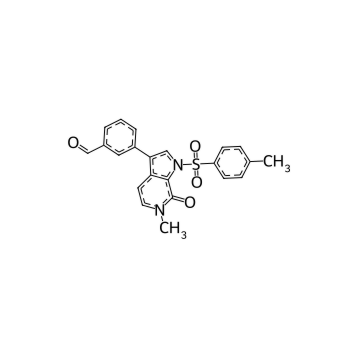 Cc1ccc(S(=O)(=O)n2cc(-c3cccc(C=O)c3)c3ccn(C)c(=O)c32)cc1